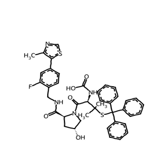 Cc1ncsc1-c1ccc(CNC(=O)[C@@H]2C[C@@H](O)CN2C(=O)[C@@H](NC(=O)O)C(C)(C)SC(c2ccccc2)(c2ccccc2)c2ccccc2)c(F)c1